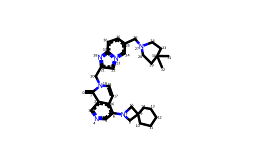 C=C1c2cncc(N3CC4(CCCCC4)C3)c2C=CN1Cc1cn2cc(CN3CCC(C)(C)CC3)ccc2n1